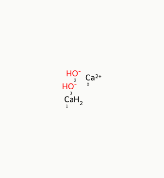 [Ca+2].[CaH2].[OH-].[OH-]